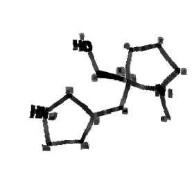 CN1CCC[C@@]1(CO)CC1CCNC1